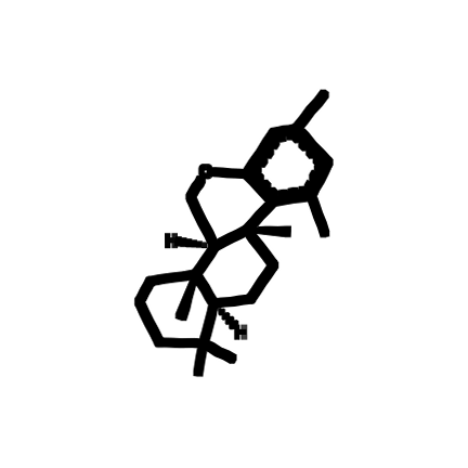 Cc1cc(C)c2c(c1)OC[C@@H]1[C@@]3(C)CCCC(C)(C)[C@@H]3CC[C@@]21C